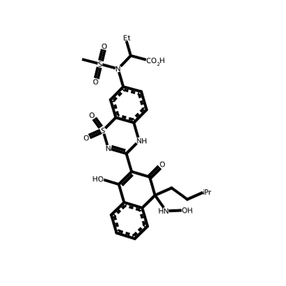 CCC(C(=O)O)N(c1ccc2c(c1)S(=O)(=O)N=C(C1=C(O)c3ccccc3C(CCC(C)C)(NO)C1=O)N2)S(C)(=O)=O